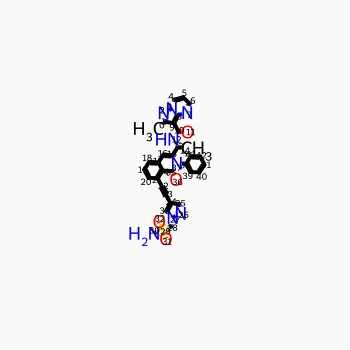 Cc1nn2cccnc2c1C(=O)NC(C)c1cc2cccc(C#Cc3cnn(CS(N)(=O)=O)c3)c2c(=O)n1-c1ccccc1